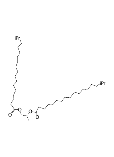 CC(C)CCCCCCCCCCCCCCC(=O)OCC(C)OC(=O)CCCCCCCCCCCCCCC(C)C